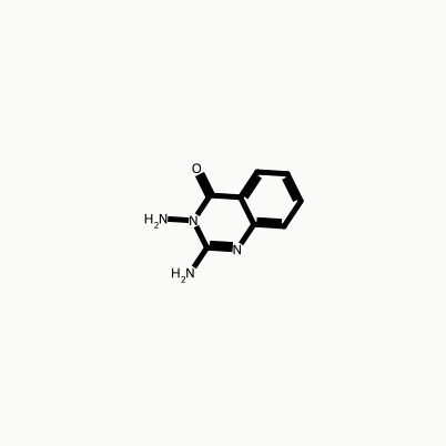 Nc1nc2ccccc2c(=O)n1N